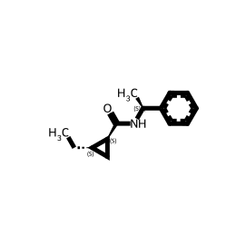 CC[C@H]1C[C@@H]1C(=O)N[C@@H](C)c1ccccc1